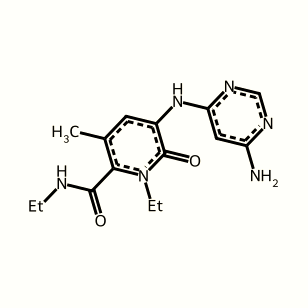 CCNC(=O)c1c(C)cc(Nc2cc(N)ncn2)c(=O)n1CC